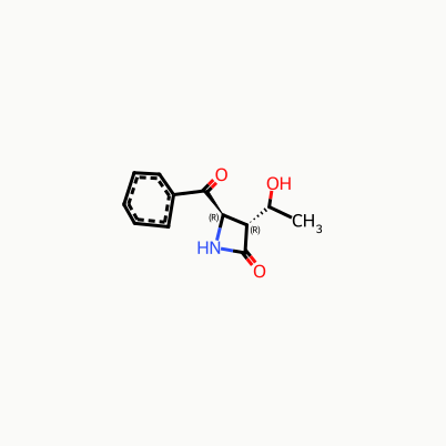 CC(O)[C@@H]1C(=O)N[C@H]1C(=O)c1ccccc1